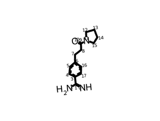 N=C(N)c1ccc(CCC(=O)N2CCCC2)cc1